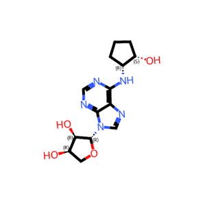 O[C@@H]1[C@H](O)CO[C@H]1n1cnc2c(N[C@@H]3CCC[C@@H]3O)ncnc21